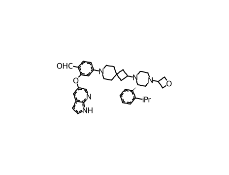 CC(C)c1ccccc1[C@H]1CN(C2COC2)CCN1C1CC2(CCN(c3ccc(C=O)c(Oc4cnc5[nH]ccc5c4)c3)CC2)C1